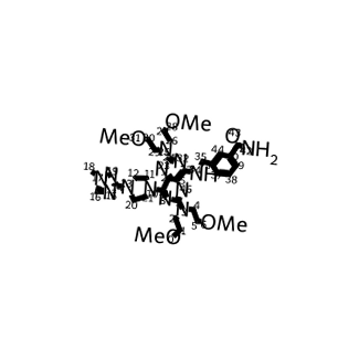 COCCN(CCOC)c1nc(N2CCN(c3ncn(C)n3)CC2)c2nc(N(CCOC)CCOC)nc(NCc3cccc(C(N)=O)c3)c2n1